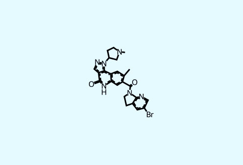 Cc1cc2c(cc1C(=O)N1CCc3cc(Br)cnc31)[nH]c(=O)c1cnn(C3CCN(C)C3)c12